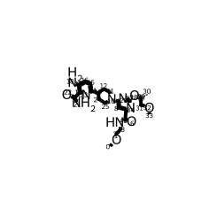 COCCNC(=O)c1cc(N2CCC(c3ccc(N)c(C(N)=O)n3)CC2)nc(O[C@H](C)COC)n1